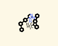 CC1(C)c2ccccc2-c2cc3c4ccccc4n(C4=NC=CC(c5ccc(-c6cccc(-c7ccccc7)c6)cc5)N4)c3cc21